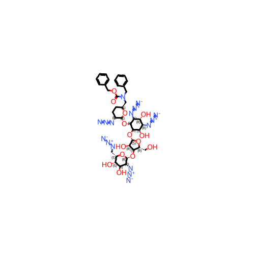 [N-]=[N+]=NC[C@@H]1O[C@H](O[C@H]2[C@@H](O)[C@H](O[C@@H]3[C@@H](O)[C@H](N=[N+]=[N-])[C@@H](O)[C@H](N=[N+]=[N-])[C@H]3O[C@H]3O[C@H](CN(Cc4ccccc4)C(=O)OCc4ccccc4)CC[C@H]3N=[N+]=[N-])O[C@@H]2CO)[C@H](N=[N+]=[N-])[C@@H](O)[C@@H]1O